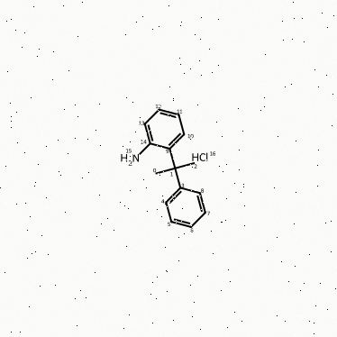 CC(C)(c1ccccc1)c1ccccc1N.Cl